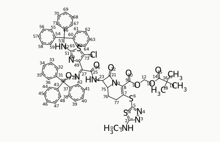 CNc1nnc(SC2=C(C(=O)OCOC(=O)C(C)(C)C)N3C(=O)C(NC(=O)C(=NOC(c4ccccc4)(c4ccccc4)c4ccccc4)c4nc(NC(c5ccccc5)(c5ccccc5)c5ccccc5)sc4Cl)C3CC2)s1